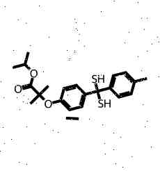 CC.Cc1ccc(C(S)(S)c2ccc(OC(C)(C)C(=O)OC(C)C)cc2)cc1